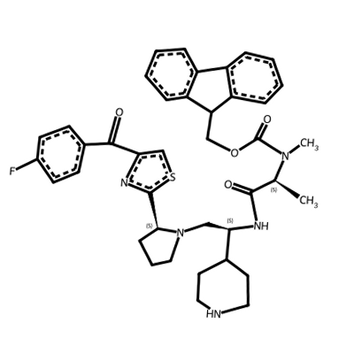 C[C@@H](C(=O)N[C@H](CN1CCC[C@H]1c1nc(C(=O)c2ccc(F)cc2)cs1)C1CCNCC1)N(C)C(=O)OCC1c2ccccc2-c2ccccc21